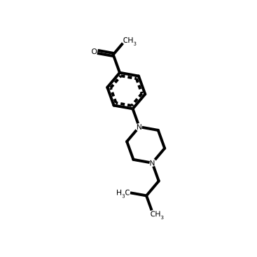 CC(=O)c1ccc(N2CCN(CC(C)C)CC2)cc1